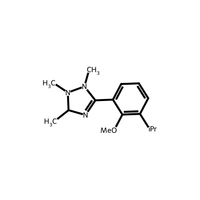 COc1c(C2=NC(C)N(C)N2C)cccc1C(C)C